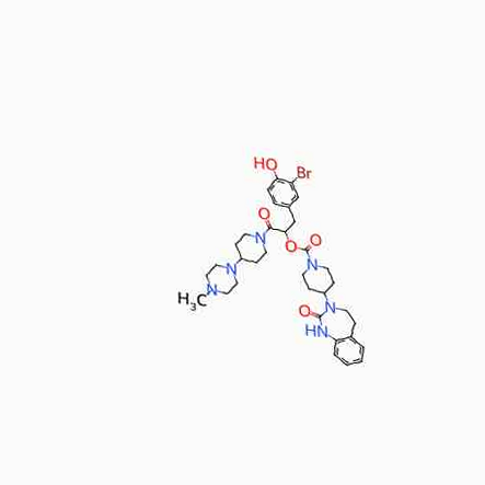 CN1CCN(C2CCN(C(=O)C(Cc3ccc(O)c(Br)c3)OC(=O)N3CCC(N4CCc5ccccc5NC4=O)CC3)CC2)CC1